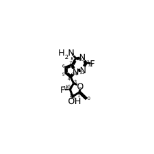 C=C1OC(c2ccc3c(N)nc(F)nn23)[C@H](F)[C@@H]1O